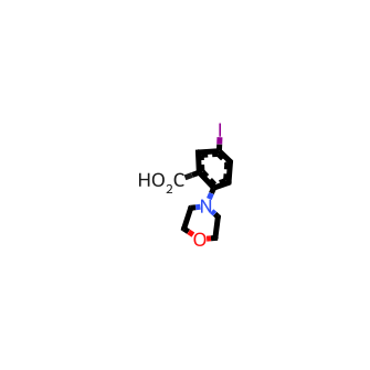 O=C(O)c1cc(I)ccc1N1CCOCC1